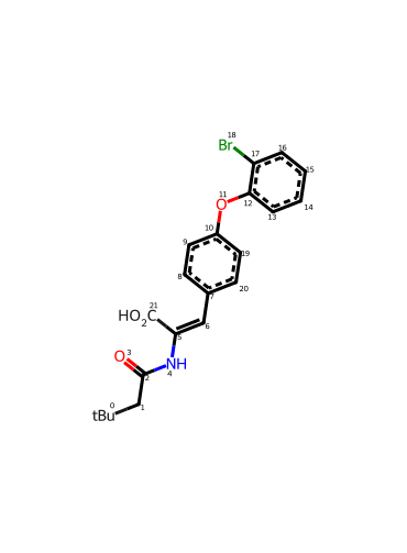 CC(C)(C)CC(=O)N/C(=C/c1ccc(Oc2ccccc2Br)cc1)C(=O)O